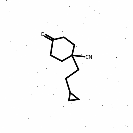 N#CC1(CCC2CC2)CCC(=O)CC1